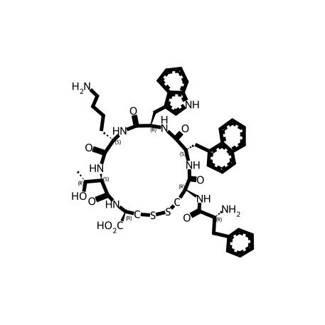 C[C@@H](O)[C@@H]1NC(=O)[C@H](CCCCN)NC(=O)[C@@H](Cc2c[nH]c3ccccc23)NC(=O)[C@H](Cc2cccc3ccccc23)NC(=O)[C@@H](NC(=O)[C@H](N)Cc2ccccc2)CSSC[C@@H](C(=O)O)NC1=O